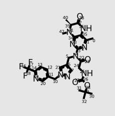 Cc1nc(N(Cc2cnn(Cc3ccc(C(F)(F)F)nc3)c2)C(=O)CNC(=O)OC(C)(C)C)nc2c1NC(=O)[C@H](C)N2C